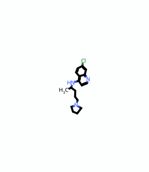 CC(CCCN1CCCC1)Nc1ccnc2cc(Cl)ccc12